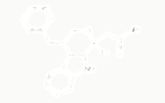 CCC1(CC(=O)C(C)C)OCC(Cc2ccccc2)C2c3ccccc3NC21